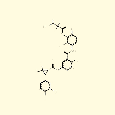 CC(F)C(F)(F)C(=O)Nc1c(F)ccc(NC(=O)c2cc(NC(=O)[C@H]3[C@H](c4ccc(Cl)c(Cl)c4)C3(Cl)Cl)ccc2Cl)c1F